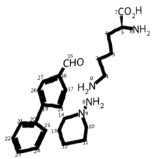 NCCCC[C@H](N)C(=O)O.NN1CCCCC1.O=Cc1ccc(-c2ccccc2)cc1